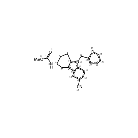 COC(=O)N[C@@H]1CCc2c(c3cc(C#N)ccc3n2Cc2ccccn2)C1